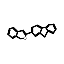 C1=C(c2ccc3c(c2)Cc2ccccc2-3)OCc2ccccc21